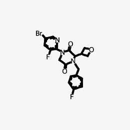 O=C1C(C2COC2)N(Cc2ccc(F)cc2)C(=O)CN1c1ncc(Br)cc1F